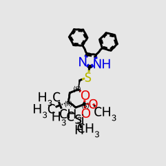 CO[C@@]1(O[SiH](C)C)C[C@H](C(C)(C)C)C[C@@H](CSc2nc(-c3ccccc3)c(-c3ccccc3)[nH]2)O1